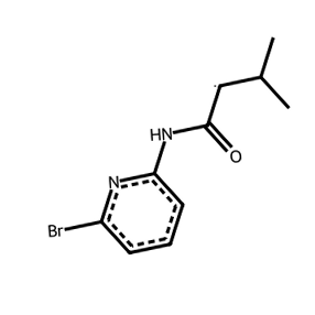 CC(C)[CH]C(=O)Nc1cccc(Br)n1